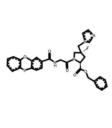 O=C(NCC(=O)N1C[C@@](F)(Cn2ccnc2)C[C@H]1C(=O)OCc1ccccc1)c1ccc2c(c1)Oc1ccccc1S2